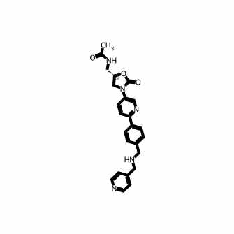 CC(=O)NC[C@H]1CN(c2ccc(-c3ccc(CNCc4ccncc4)cc3)nc2)C(=O)O1